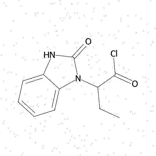 CCC(C(=O)Cl)n1c(=O)[nH]c2ccccc21